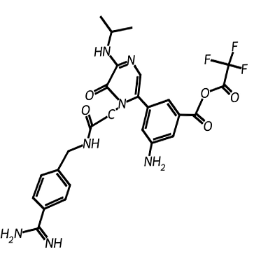 CC(C)Nc1ncc(-c2cc(N)cc(C(=O)OC(=O)C(F)(F)F)c2)n(CC(=O)NCc2ccc(C(=N)N)cc2)c1=O